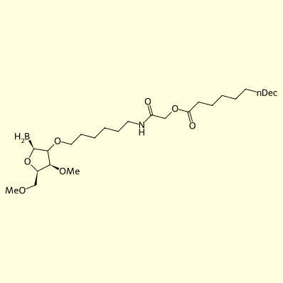 B[C@@H]1O[C@H](COC)[C@H](OC)C1OCCCCCCNC(=O)COC(=O)CCCCCCCCCCCCCCC